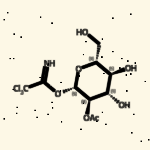 CC(=O)O[C@H]1[C@H](OC(=N)C(Cl)(Cl)Cl)O[C@H](CO)[C@@H](O)[C@@H]1O